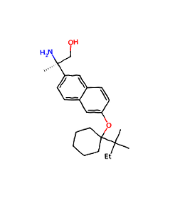 CCC(C)(C)C1(Oc2ccc3cc([C@@](C)(N)CO)ccc3c2)CCCCC1